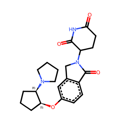 O=C1CCC(N2Cc3cc(O[C@H]4CCC[C@H]4N4CCCC4)ccc3C2=O)C(=O)N1